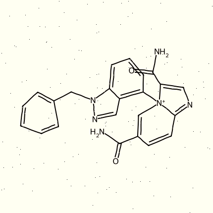 NC(=O)C1=C[N+]2(c3cccc4c3cnn4Cc3ccccc3)C(C(N)=O)=CN=C2C=C1